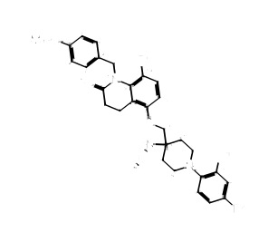 COc1ccc(CN2C(=O)CCc3c(OCC4(N=C=O)CCN(c5ccc(F)cc5F)CC4)ccc(F)c32)cc1